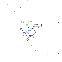 O=C(O)C1CCC(=O)N2CCC(F)C(F)C12